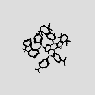 CC(C)c1ccc(N2c3ccc(C(C)C)cc3B3c4oc5c(c4N(c4ccc6c(c4)C(C)(C)CCC6(C)C)c4cc(N(c6ccccc6)c6cccc7c6-c6ccccc6C7(C)C)cc2c43)C(C)(C)CCC5(C)C)cc1